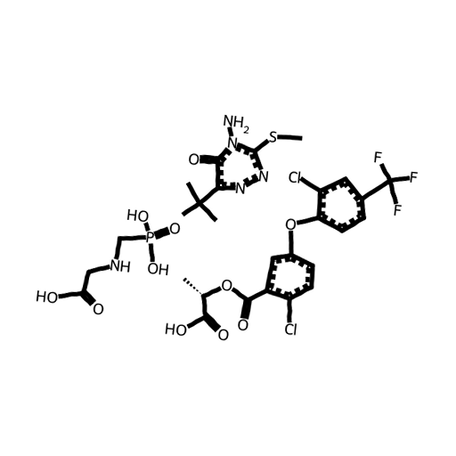 CSc1nnc(C(C)(C)C)c(=O)n1N.C[C@H](OC(=O)c1cc(Oc2ccc(C(F)(F)F)cc2Cl)ccc1Cl)C(=O)O.O=C(O)CNCP(=O)(O)O